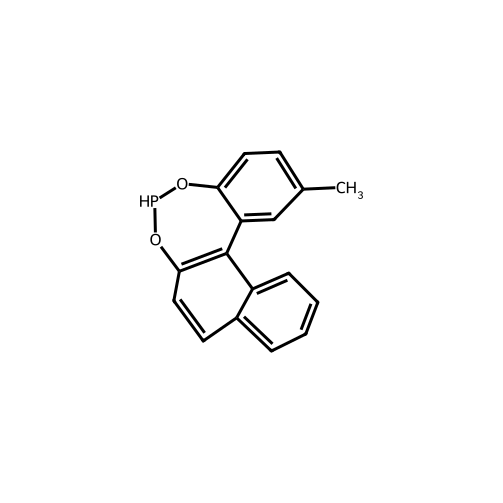 Cc1ccc2o[pH]oc3ccc4ccccc4c3c2c1